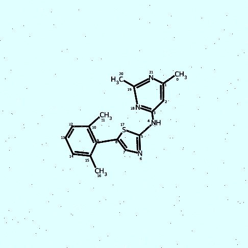 Cc1cc(Nc2ncc(-c3c(C)cccc3C)s2)nc(C)n1